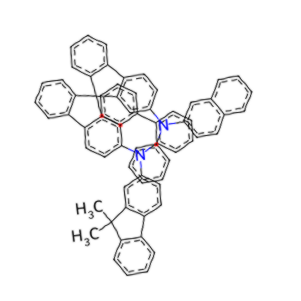 CC1(C)c2ccccc2-c2ccc(N(c3ccc4c(c3)C3(c5ccccc5-c5ccc(N(c6ccccc6)c6ccc7ccccc7c6)cc53)c3ccccc3-4)c3ccccc3-c3ccccc3)cc21